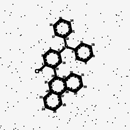 Clc1ccc(N(c2ccccc2)c2ccccc2)cc1-c1cc2ccccc2c2ccccc12